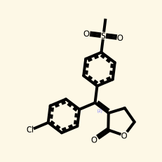 CS(=O)(=O)c1ccc(/C(=C2\CCOC2=O)c2ccc(Cl)cc2)cc1